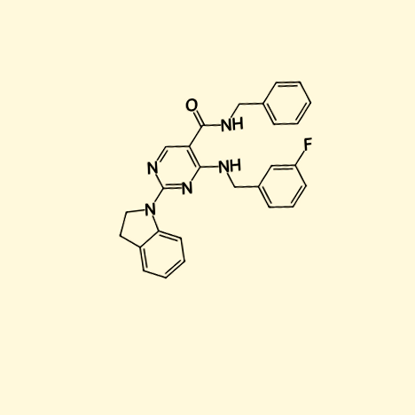 O=C(NCc1ccccc1)c1cnc(N2CCc3ccccc32)nc1NCc1cccc(F)c1